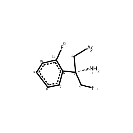 CC(=O)C[C@@](N)(CF)c1ccccc1F